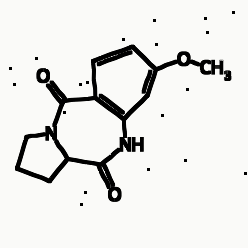 COc1ccc2c(c1)NC(=O)C1CCCN1C2=O